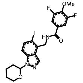 COc1c(F)cc(C(=O)NCc2c(I)ccc3c2cnn3C2CCCCO2)cc1F